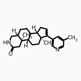 Cc1cncc(C2=CC[C@H]3C4CC[C@H]5CNC(=O)C[C@]5(C)[C@H]4CC[C@]23C)c1